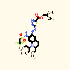 CCC(CC)N1c2cc(NS(=O)(=O)CC(F)(F)F)c(N=Nc3nnc(C(=O)OCC(C)C)s3)cc2CCC1CC